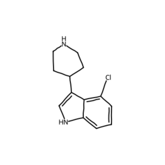 Clc1cccc2[nH]cc(C3CCNCC3)c12